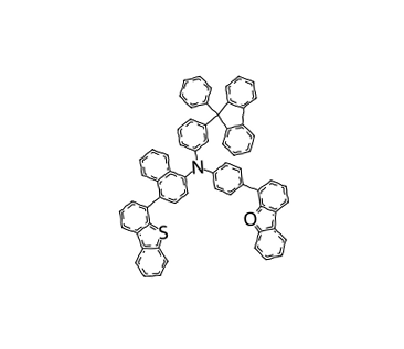 c1ccc(C2(c3cccc(N(c4ccc(-c5cccc6c5oc5ccccc56)cc4)c4ccc(-c5cccc6c5sc5ccccc56)c5ccccc45)c3)c3ccccc3-c3ccccc32)cc1